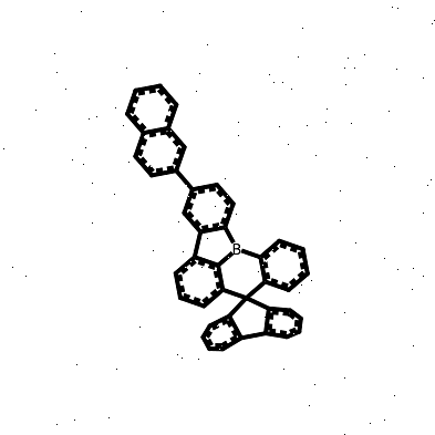 c1ccc2c(c1)B1c3ccc(-c4ccc5ccccc5c4)cc3-c3cccc(c31)C21c2ccccc2-c2ccccc21